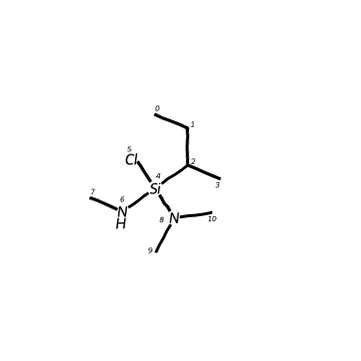 CCC(C)[Si](Cl)(NC)N(C)C